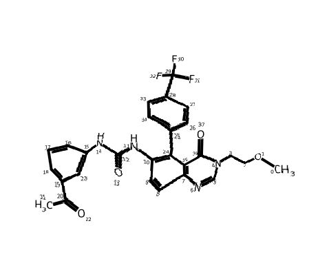 COCCn1cnc2ccc(NC(=O)Nc3cccc(C(C)=O)c3)c(-c3ccc(C(F)(F)F)cc3)c2c1=O